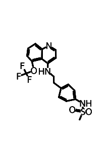 CS(=O)(=O)Nc1ccc(CCNc2ccnc3cccc(OC(F)(F)F)c23)cc1